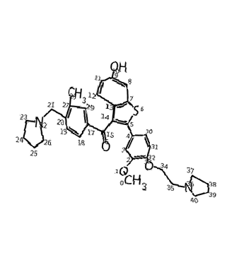 COc1cc(-c2sc3cc(O)ccc3c2C(=O)c2ccc(CN3CCCC3)c(C)c2)ccc1OCCN1CCCC1